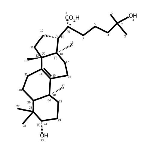 CC(C)(O)CCC[C@@H](C(=O)O)[C@H]1CC[C@@]2(C)C3=C(CC[C@]12C)[C@@]1(C)CC[C@H](O)C(C)(C)C1CC3